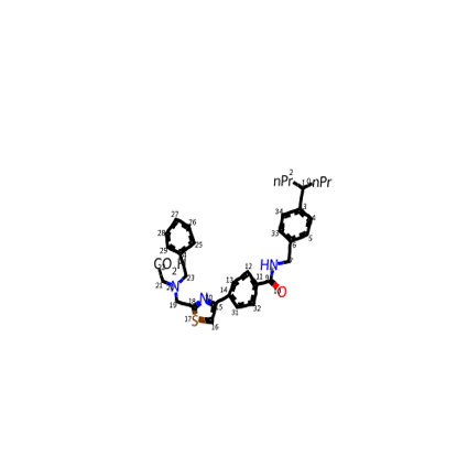 CCCC(CCC)c1ccc(CNC(=O)c2ccc(-c3csc(CN(CC(=O)O)Cc4ccccc4)n3)cc2)cc1